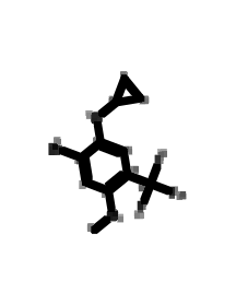 COc1cc(Br)c(OC2CC2)cc1C(F)(F)F